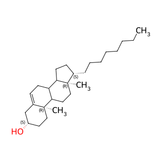 CCCCCCCC[C@H]1CCC2C3CC=C4C[C@@H](O)CC[C@]4(C)C3CC[C@@]21C